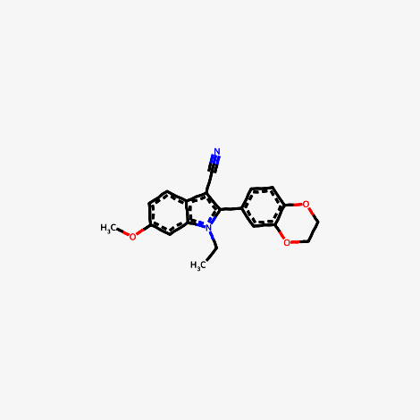 CCn1c(-c2ccc3c(c2)OCCO3)c(C#N)c2ccc(OC)cc21